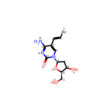 CC(=O)C=Cc1cn([C@H]2CC(O)[C@@H](CO)O2)c(=O)nc1N